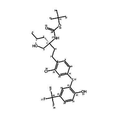 CCC[C@@](CO)(CCc1ccc(Sc2cc(C(F)(F)F)ccc2O)cc1Cl)NC(=O)OC(C)(C)C